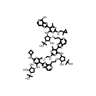 CCCc1nccc2sc(-c3c(C)nc(NCC4(C)CC4)nc3N[C@@H]3C[C@H](C(C)(C)O)[C@@H](O)[C@H]3OCCc3nccc4sc(-c5c(C)nc(NCC(F)(F)F)nc5NC5C[C@H](C(C)(C)O)[C@@H](O)[C@H]5OCCc5nccc6sc(-c7c(C)nc(NC8CCC8)nc7N[C@@H]7C[C@H](C(C)(C)O)[C@@H](O)[C@H]7O)nc56)nc34)nc12